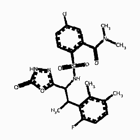 Cc1ccc(F)c(C(C)C(NS(=O)(=O)c2ccc(Cl)cc2C(=O)N(C)C)c2n[nH]c(=O)o2)c1C